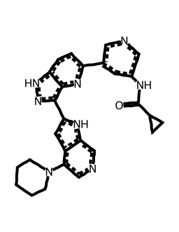 O=C(Nc1cncc(-c2ccc3[nH]nc(-c4cc5c(N6CCCCC6)cncc5[nH]4)c3n2)c1)C1CC1